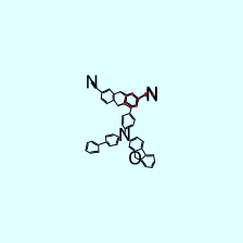 N#Cc1ccc2c(c1)C1c3cc(C#N)ccc3C2c2c(-c3ccc(N(c4ccc(-c5ccccc5)cc4)c4ccc5c(c4)oc4ccccc45)cc3)cc(C#N)cc21